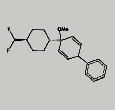 COC1([C@H]2CC[C@H](C(F)F)CC2)C=CC(c2ccccc2)C=C1